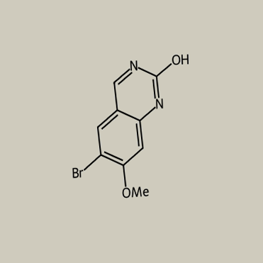 COc1cc2nc(O)ncc2cc1Br